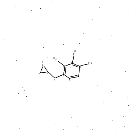 Fc1ccc(CC2CO2)c(F)c1F